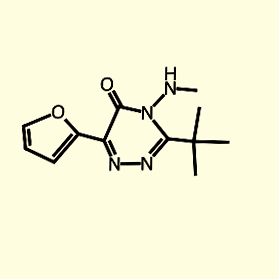 CNn1c(C(C)(C)C)nnc(-c2ccco2)c1=O